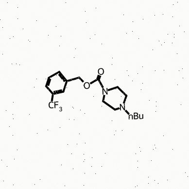 [CH2]CCCN1CCN(C(=O)OCc2cccc(C(F)(F)F)c2)CC1